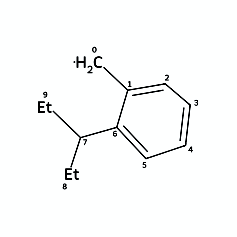 [CH2]c1ccccc1C(CC)CC